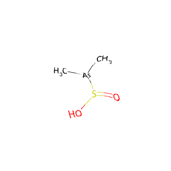 C[As](C)S(=O)O